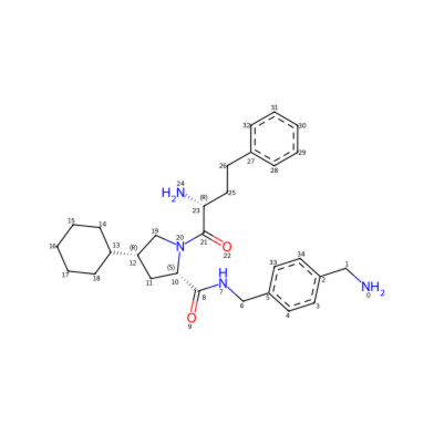 NCc1ccc(CNC(=O)[C@@H]2C[C@H](C3CCCCC3)CN2C(=O)[C@H](N)CCc2ccccc2)cc1